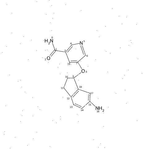 NC(=O)c1cncc(OC2CCc3ccc(N)cc32)c1